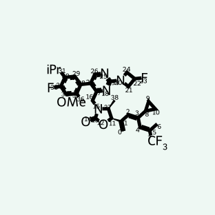 C=C(/C=C(\C=C(/C)C(F)(F)F)C1CC1)[C@H]1OC(=O)N(Cc2nc(N3CC(F)C3)ncc2-c2cc(C(C)C)c(F)cc2OC)[C@H]1C